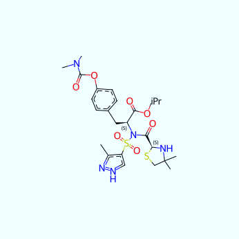 Cc1n[nH]cc1S(=O)(=O)N(C(=O)[C@H]1NC(C)(C)CS1)[C@@H](Cc1ccc(OC(=O)N(C)C)cc1)C(=O)OC(C)C